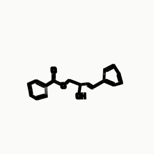 O=C(OCC(O)C=Cc1ccccc1)c1ccccc1